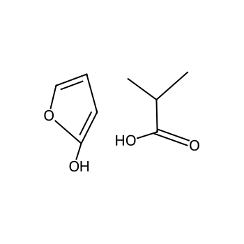 CC(C)C(=O)O.Oc1ccco1